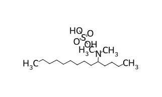 CCCCCCCCCC(CCCC)N(C)C.O=S(=O)(O)O